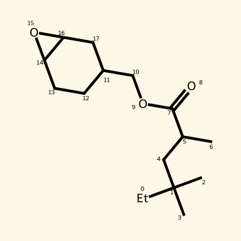 CCC(C)(C)CC(C)C(=O)OCC1CCC2OC2C1